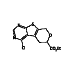 CCOC(=O)C1Cc2c(sc3ncnc(Cl)c23)CO1